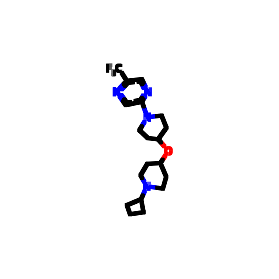 FC(F)(F)c1cnc(N2CCC(OC3CCN(C4CCC4)CC3)CC2)cn1